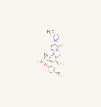 Cc1cn(-c2ccc3n(c2=O)CCN(C(C)C2=CC(C)(C)Oc4ccc(C(F)(F)F)cc42)C3=O)cn1